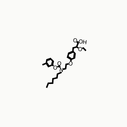 CCCCCCCN(CCOc1ccc(CC(OCC)C(=O)O)cc1)C(=O)Oc1cccc(C)c1